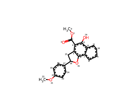 COC(=O)c1c2c(c3ccccc3c1O)OC(c1ccc(OC)cc1)C2